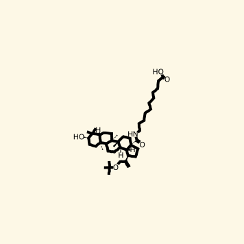 C=C(COC(C)(C)C)[C@@H]1CC[C@]2(C(=O)NCCCCCCCCCCC(=O)O)CC[C@]3(C)[C@H](CCC4[C@@]5(C)CC[C@H](O)C(C)(C)[C@@H]5CC[C@]43C)[C@@H]12